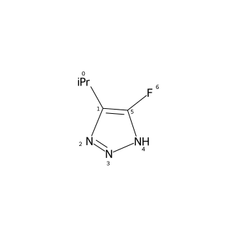 CC(C)c1nn[nH]c1F